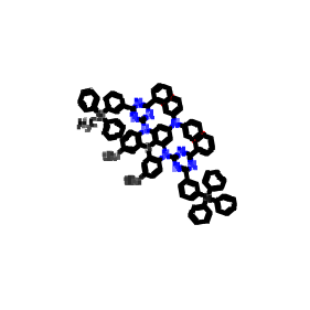 CC(C)(C)c1ccc2c(c1)B1c3cc(C(C)(C)C)ccc3N(c3nc(-c4ccccc4)nc(-c4cccc([Si](c5ccccc5)(c5ccccc5)c5ccccc5)c4)n3)c3cc(N(c4ccccc4)c4ccccc4)cc(c31)N2c1nc(-c2ccccc2)nc(-c2cccc([Si](C)(c3ccccc3)c3ccccc3)c2)n1